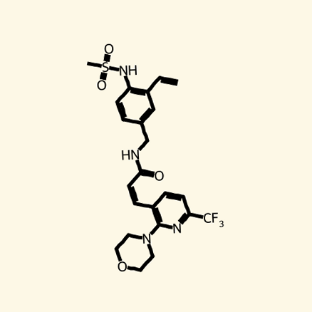 C=Cc1cc(CNC(=O)/C=C\c2ccc(C(F)(F)F)nc2N2CCOCC2)ccc1NS(C)(=O)=O